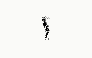 C=CCCCCOc1ccc(C(=O)Oc2ccc(-c3ncc(CCCCCCCC)cn3)cc2)cc1